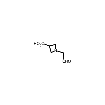 O=CCN1CC(C(=O)O)C1